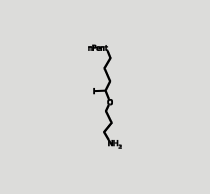 CCCCCCCCC(I)OCCCN